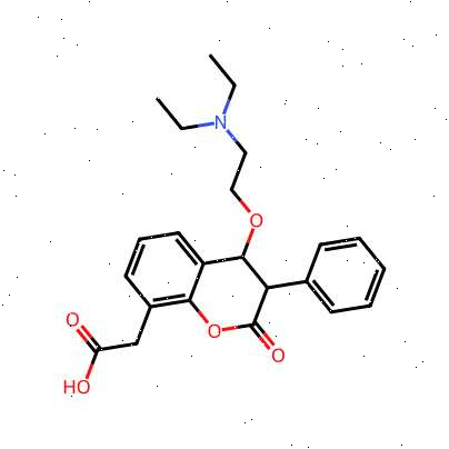 CCN(CC)CCOC1c2cccc(CC(=O)O)c2OC(=O)C1c1ccccc1